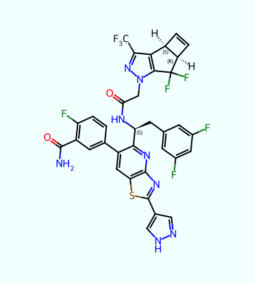 NC(=O)c1cc(-c2cc3sc(-c4cn[nH]c4)nc3nc2[C@H](Cc2cc(F)cc(F)c2)NC(=O)Cn2nc(C(F)(F)F)c3c2C(F)(F)[C@@H]2C=C[C@H]32)ccc1F